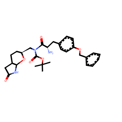 CC(C)(C)OC(=O)N(C[C@@H]1CCC2CC(=O)NC2O1)C(=O)[C@@H](N)Cc1ccc(OCc2ccccc2)cc1